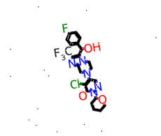 O=c1c(Cl)c(N2CCn3c(C(O)c4ccc(F)cc4C(F)(F)F)cnc3C2)cnn1C1CCCCO1